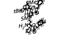 CSCC[C@H](N)C(=O)N1CCC[C@H]1C(=O)OCc1ccccc1.CSCC[C@H](NC(=O)OC(C)(C)C)C(=O)N1CCC[C@H]1C(=O)OCc1ccccc1.Cl